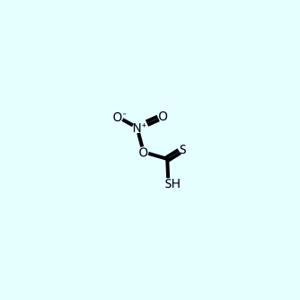 O=[N+]([O-])OC(=S)S